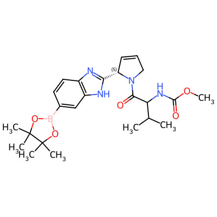 COC(=O)NC(C(=O)N1CC=C[C@H]1c1nc2ccc(B3OC(C)(C)C(C)(C)O3)cc2[nH]1)C(C)C